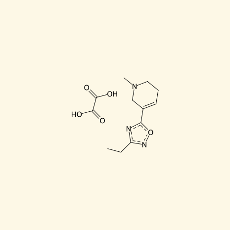 CCc1noc(C2=CCCN(C)C2)n1.O=C(O)C(=O)O